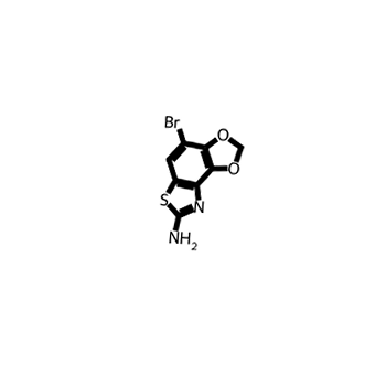 Nc1nc2c3c(c(Br)cc2s1)OCO3